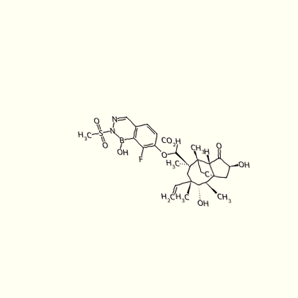 C=C[C@]1(C)C[C@@H](C(Oc2ccc3c(c2F)B(O)N(S(C)(=O)=O)N=C3)C(=O)O)[C@@]2(C)[C@H](C)CC[C@]3(C[C@H](O)C(=O)[C@H]32)[C@@H](C)[C@@H]1O